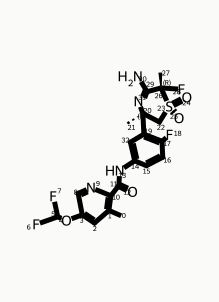 Cc1cc(OC(F)F)cnc1C(=O)Nc1ccc(F)c([C@]2(C)CS(=O)(=O)[C@@](C)(F)C(N)=N2)c1